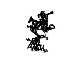 C[C@@H]1CN(CCCCS(=O)(=O)Nc2ccc(C(=O)O[C@@H](Cc3c(Cl)cncc3Cl)c3ccc(OC(F)F)c(OCC4CC4)c3)cc2OCC2CC2)[C@@H](C)CN1C(=O)OC(C)(C)C